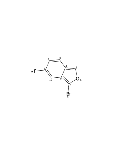 Fc1ccc2coc(Br)c2c1